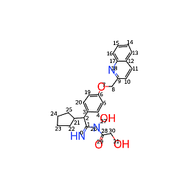 N=C(C(c1ccc(OCc2ccc3ccccc3n2)cc1)C1CCCC1)N(O)C(=O)CO